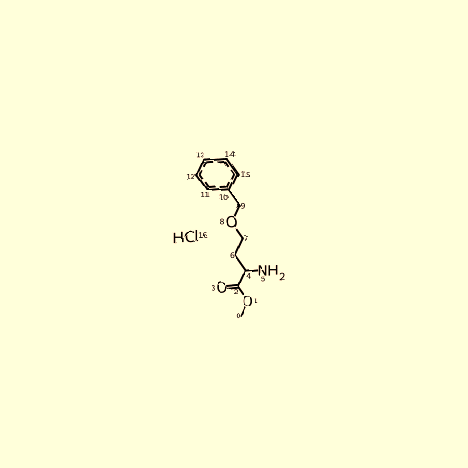 COC(=O)C(N)CCOCc1ccccc1.Cl